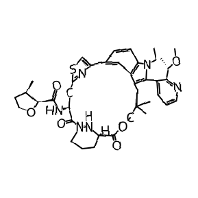 CCn1c(-c2cccnc2[C@H](C)OC)c2c3cc(ccc31)-c1csc(n1)C[C@H](NC(=O)[C@H]1OCC[C@H]1C)C(=O)N1CCC[C@H](N1)C(=O)OCC(C)(C)C2